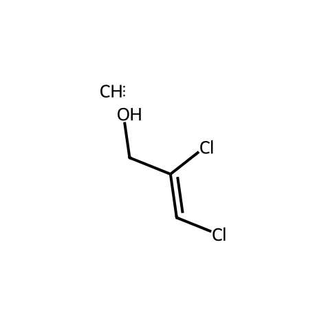 OCC(Cl)=CCl.[CH]